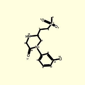 CS(=O)(=O)CCC1CN(c2cccc(Cl)c2)C(=O)CN1